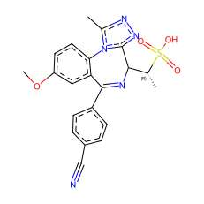 COc1ccc2c(c1)C(c1ccc(C#N)cc1)=NC([C@@H](C)S(=O)(=O)O)c1nnc(C)n1-2